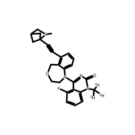 [2H]C([2H])([2H])n1c(=O)nc(N2CCOCc3c(C#CC45CC(CN4C)C5)cccc32)c2c(F)cccc21